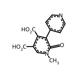 Cn1cc(C(=O)O)c(C(=O)O)c(-c2ccncc2)c1=O